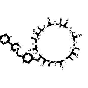 CC1OC(=O)CN(C)C(=O)C(Cc2ccc(Cn3cc(-c4cccnc4)cn3)cc2)OC(=O)CN(C)C(=O)C(C)OC(=O)CN(C)C(=O)COC(=O)CN(C)C1=O